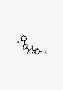 CC1CC2CCN1C[C@@H]2NC(=O)c1ncc(-c2ccccc2O)s1